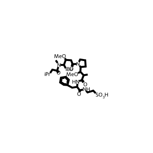 CCC(C)C(C(CC(=O)N1CCCC1C(OC)C(C)C(=O)NC(Cc1ccccc1)C(=O)NCCS(=O)(=O)O)OC)N(C)C(=O)CC(C)C